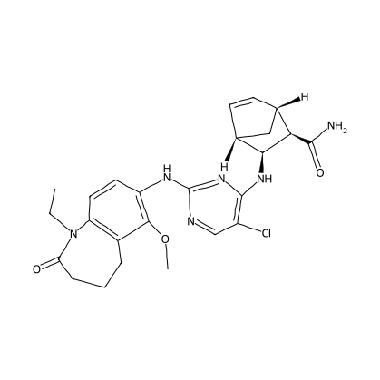 CCN1C(=O)CCCc2c1ccc(Nc1ncc(Cl)c(N[C@@H]3[C@H](C(N)=O)[C@H]4C=C[C@@H]3C4)n1)c2OC